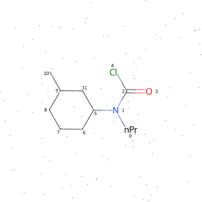 CCCN(C(=O)Cl)C1CCCC(C)C1